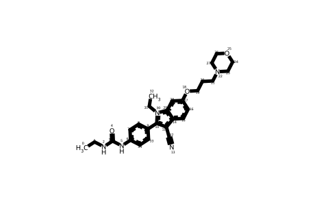 CCNC(=O)Nc1ccc(-c2c(C#N)c3ccc(OCCCN4CCOCC4)cc3n2CC)cc1